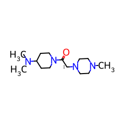 CN1CCN([C]C(=O)N2CCC(N(C)C)CC2)CC1